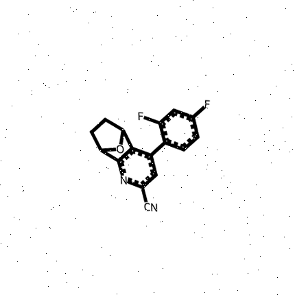 N#Cc1cc(-c2ccc(F)cc2F)c2c(n1)C1CCC2O1